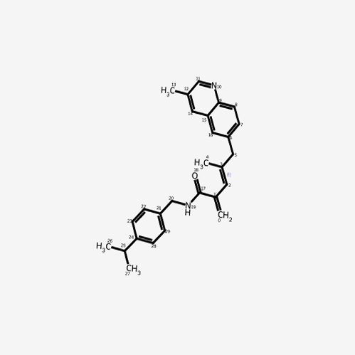 C=C(/C=C(\C)Cc1ccc2ncc(C)cc2c1)C(=O)NCc1ccc(C(C)C)cc1